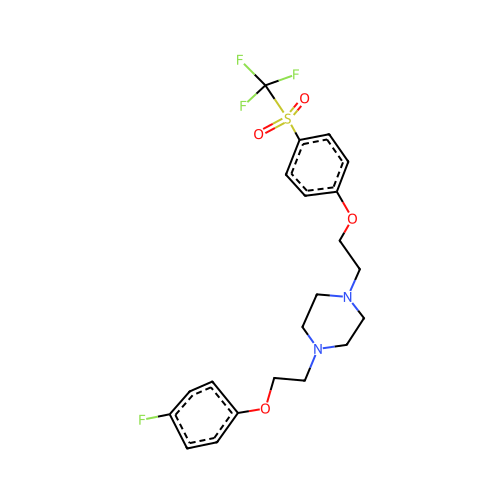 O=S(=O)(c1ccc(OCCN2CCN(CCOc3ccc(F)cc3)CC2)cc1)C(F)(F)F